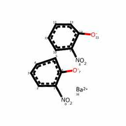 O=[N+]([O-])c1ccccc1[O-].O=[N+]([O-])c1ccccc1[O-].[Ba+2]